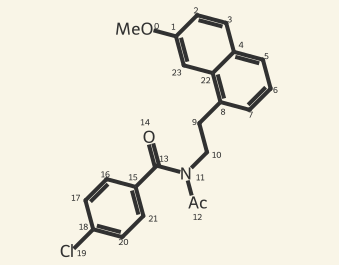 COc1ccc2cccc(CCN(C(C)=O)C(=O)c3ccc(Cl)cc3)c2c1